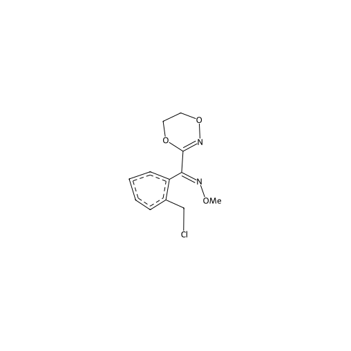 CON=C(C1=NOCCO1)c1ccccc1CCl